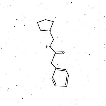 O=C(Cc1[c]cccc1)NCN1CCCC1